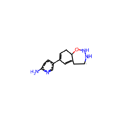 Nc1ccc(C2=CCC3ONN[CH]CC3=C2)cn1